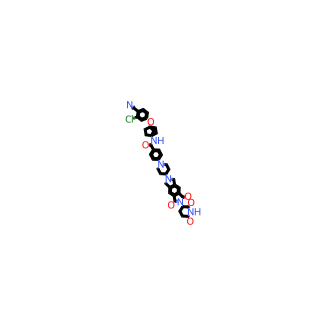 N#Cc1ccc(OC23CCC(NC(=O)c4ccc(N5CCC(N6Cc7cc8c(cc7C6)C(=O)N(C6CCC(=O)NC6=O)C8=O)CC5)cc4)(CC2)C3)cc1Cl